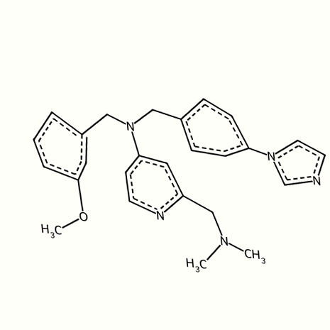 COc1cccc(CN(Cc2ccc(-n3ccnc3)cc2)c2ccnc(CN(C)C)c2)c1